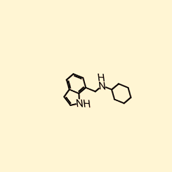 c1cc(CNC2CCCCC2)c2[nH]ccc2c1